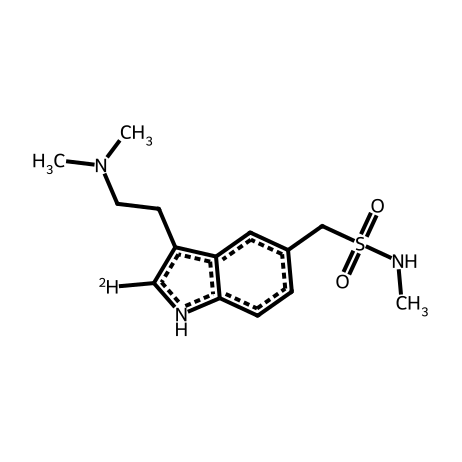 [2H]c1[nH]c2ccc(CS(=O)(=O)NC)cc2c1CCN(C)C